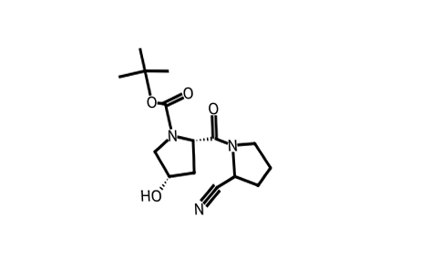 CC(C)(C)OC(=O)N1C[C@@H](O)C[C@H]1C(=O)N1CCCC1C#N